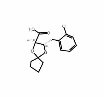 C[C@@]1(C(=O)O)OC2(CCCC2)O[C@H]1Cc1ccccc1Cl